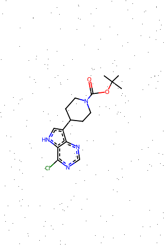 CC(C)(C)OC(=O)N1CCC(c2c[nH]c3c(Cl)ncnc23)CC1